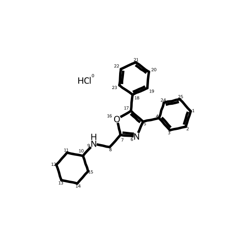 Cl.c1ccc(-c2nc(CNC3CCCCC3)oc2-c2ccccc2)cc1